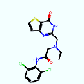 CCN(CC(=O)Nc1c(Cl)cccc1Cl)Cc1nc2ccsc2c(=O)[nH]1